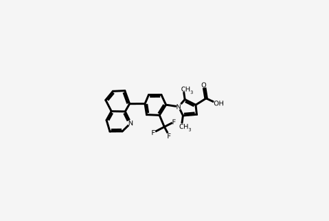 Cc1cc(C(=O)O)c(C)n1-c1ccc(-c2cccc3cccnc23)cc1C(F)(F)F